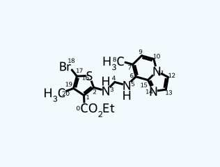 CCOC(=O)c1c(NCNc2c(C)ccn3ccnc23)sc(Br)c1C